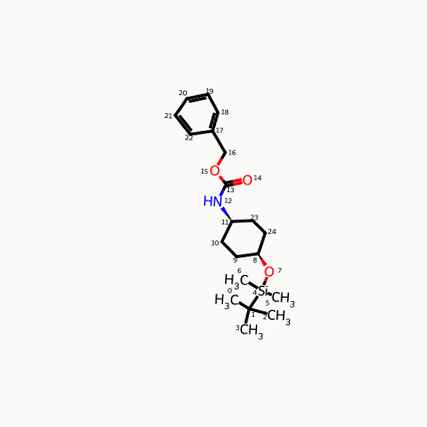 CC(C)(C)[Si](C)(C)O[C@H]1CC[C@@H](NC(=O)OCc2ccccc2)CC1